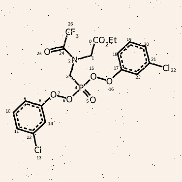 CCOC(=O)CN(CP(=O)(OOc1cccc(Cl)c1)OOc1cccc(Cl)c1)C(=O)C(F)(F)F